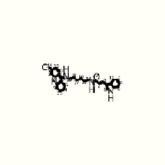 O=C(C=Cc1c[nH]c2ccccc12)NCCCCCCNc1c2c(nc3cc(Cl)ccc13)CCCC2